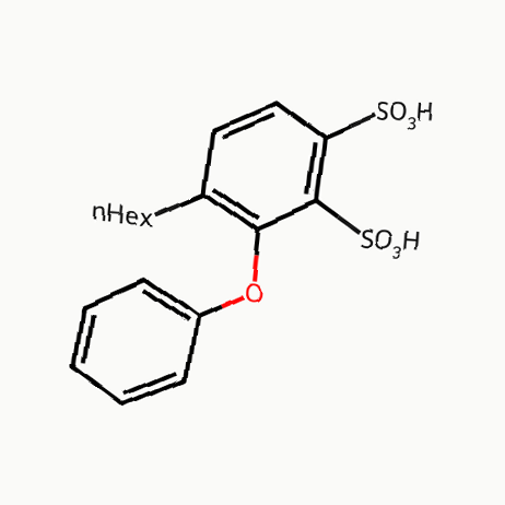 CCCCCCc1ccc(S(=O)(=O)O)c(S(=O)(=O)O)c1Oc1ccccc1